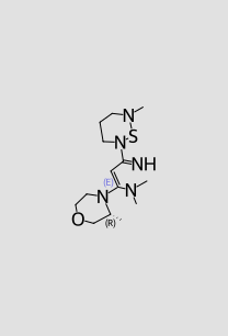 C[C@@H]1COCCN1/C(=C/C(=N)N1CCCN(C)S1)N(C)C